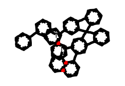 c1ccc(-c2cccc(N(c3ccccc3)c3ccc4c(c3)C3(c5ccccc5-4)c4ccccc4-c4cc(-c5ccccc5)c(N(c5ccccc5)c5ccccc5)cc43)c2)cc1